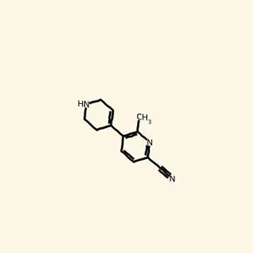 Cc1nc(C#N)ccc1C1=CCNCC1